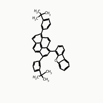 CC(C)(C)c1cccc(-c2ccc3ccc4c(-c5cccc(C(C)(C)C)c5)cc(-c5cccc6c5oc5ccccc56)c5ccc2c3c45)c1